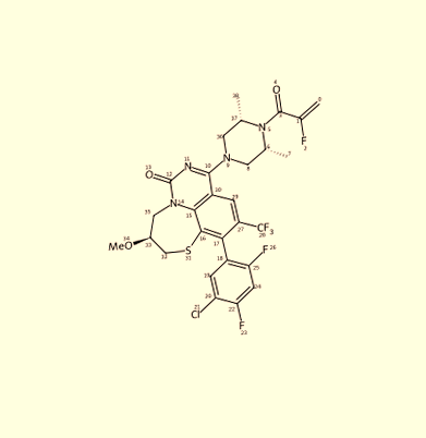 C=C(F)C(=O)N1[C@H](C)CN(c2nc(=O)n3c4c(c(-c5cc(Cl)c(F)cc5F)c(C(F)(F)F)cc24)SC[C@@H](OC)C3)C[C@@H]1C